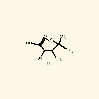 CC(C(N)C(=O)O)C(C)(C)C.F